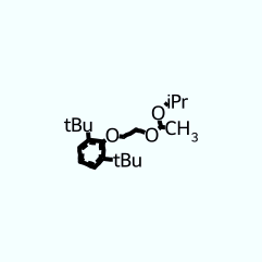 CC(C)OC(C)OCCOc1c(C(C)(C)C)cccc1C(C)(C)C